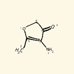 CC1=C(N)C(=O)CO1